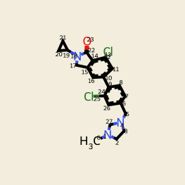 CN1CCN(Cc2ccc(-c3cc(Cl)c4c(c3)CN(C3CC3)C4=O)c(Cl)c2)C1